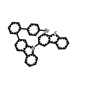 Brc1ccc(-c2ccccc2-c2ccc3c4ccccc4n(-c4ccc5sc6ccccc6c5c4)c3c2)cc1